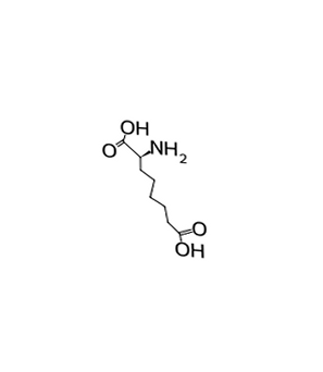 N[C@@H](CCCCCC(=O)O)C(=O)O